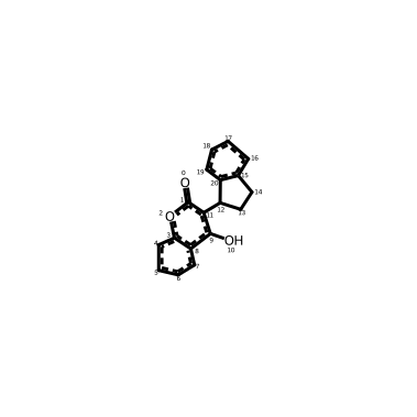 O=c1oc2ccccc2c(O)c1C1CCc2ccccc21